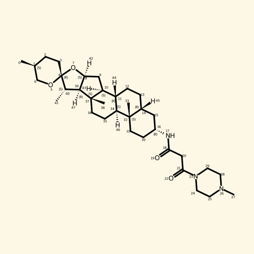 C[C@H]1CC[C@@]2(OC1)O[C@H]1C[C@H]3[C@@H]4CC[C@@H]5C[C@H](NC(=O)CC(=O)N6CCN(C)CC6)CC[C@]5(C)[C@H]4CC[C@]3(C)[C@H]1[C@@H]2C